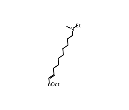 CCCCCCCCC=CCCCCCCCCN(C)CC